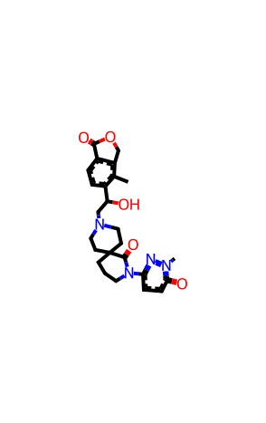 Cc1c(C(O)CN2CCC3(CCCN(c4ccc(=O)n(C)n4)C3=O)CC2)ccc2c1COC2=O